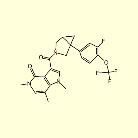 Cc1cn(C)c(=O)c2c(C(=O)N3CC4CC4(c4ccc(OC(F)(F)F)c(F)c4)C3)cn(C)c12